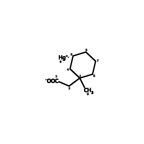 CC1(CC(=O)[O-])CCCCC1.[Hg+]